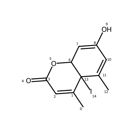 CC1=CC(=O)OC2C=C(O)C=C(C)C12I